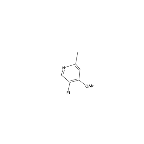 [CH2]c1cc(OC)c(CC)cn1